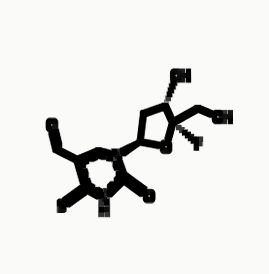 O=Cc1cn([C@H]2C[C@H](O)[C@@](F)(CO)O2)c(=O)[nH]c1=S